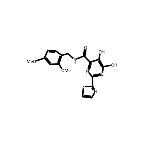 COc1ccc(CNC(=O)c2nc(-c3nccs3)nc(O)c2O)c(OC)c1